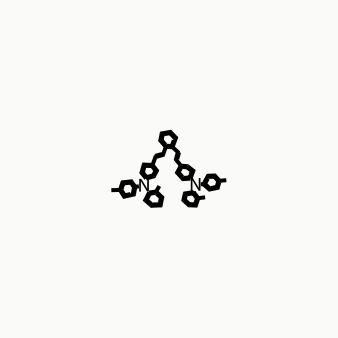 Cc1ccc(N(c2ccc(C=Cc3ccccc3C=Cc3ccc(N(c4ccc(C)cc4)c4ccccc4C)cc3)cc2)c2ccccc2C)cc1